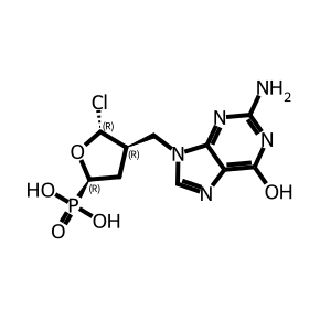 Nc1nc(O)c2ncn(C[C@H]3C[C@@H](P(=O)(O)O)O[C@@H]3Cl)c2n1